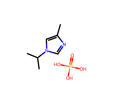 Cc1cn(C(C)C)cn1.O=P(O)(O)O